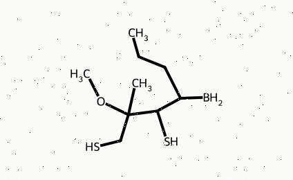 BC(CCC)C(S)C(C)(CS)OC